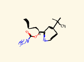 C=CC[C@H](OC(N)=O)c1cc(C(C)(C)C#N)ccn1